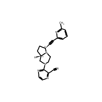 Cc1cccc(C#C[C@@H]2CC[C@H]3CN(c4nccnc4C#N)CCN32)n1